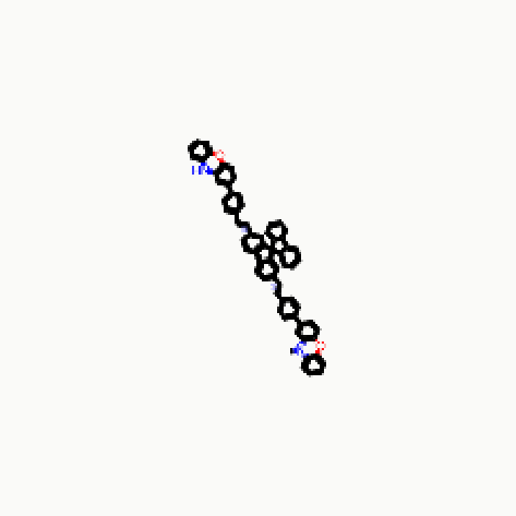 CN1c2ccccc2Oc2ccc(-c3ccc(/C=C/c4ccc5c(c4)C4(c6ccccc6-c6ccccc64)c4cc(/C=C/c6ccc(-c7ccc8c(c7)Nc7ccccc7O8)cc6)ccc4-5)cc3)cc21